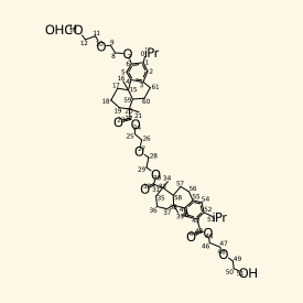 CC(C)c1cc2c(cc1OCCOCCOC=O)C1(C)CCCC(C)(C(=O)OCCOCCOC(=O)C3(C)CCCC4(C)c5cc(C(=O)OCCOCCO)c(C(C)C)cc5CCC34)C1CC2